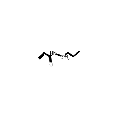 C=CC(=O)N[SiH2]CCC